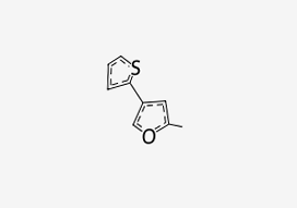 Cc1cc(-c2cccs2)co1